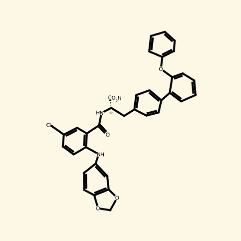 O=C(N[C@@H](Cc1ccc(-c2ccccc2Oc2ccccc2)cc1)C(=O)O)c1cc(Cl)ccc1Nc1ccc2c(c1)OCO2